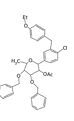 CCOc1ccc(Cc2cc(C3OC(C)C(OCc4ccccc4)C(OCc4ccccc4)C3OC(C)=O)ccc2Cl)cc1